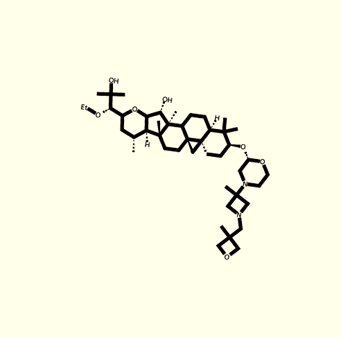 CCO[C@@H](C1C[C@@H](C)[C@H]2C(O1)[C@H](O)[C@@]1(C)C3CC[C@H]4C(C)(C)[C@@H](O[C@H]5CN(C6(C)CN(CC7(C)COC7)C6)CCO5)CC[C@@]45C[C@@]35CC[C@]21C)C(C)(C)O